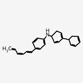 C=C/C=C\C=C\c1ccc(NC2C=CC(C3C=CC=CC3)=CC2)cc1